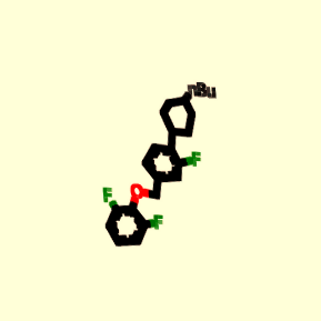 CCCCC1CCC(c2ccc(COc3c(F)cccc3F)cc2F)CC1